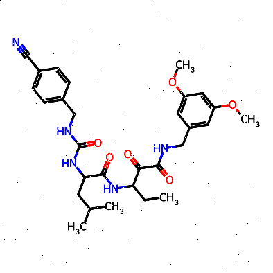 CCC(NC(=O)C(CC(C)C)NC(=O)NCc1ccc(C#N)cc1)C(=O)C(=O)NCc1cc(OC)cc(OC)c1